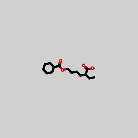 CCC(CCCCOC(=O)C1CCCCC1)C([O])=O